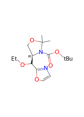 CCOC(c1ncco1)[C@H]1COC(C)(C)N1C(=O)OC(C)(C)C